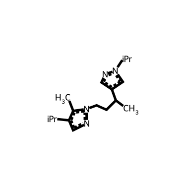 Cc1c(C(C)C)cnn1CCC(C)c1cnn(C(C)C)c1